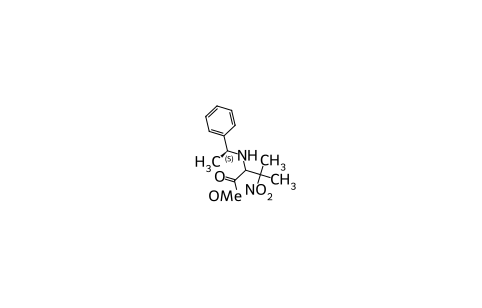 COC(=O)C(N[C@@H](C)c1ccccc1)C(C)(C)[N+](=O)[O-]